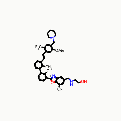 COc1cc(/C=C/c2cccc(-c3cccc(-c4nc5cc(CNCCO)cc(C#N)c5o4)c3C)c2C)c(C(F)(F)F)cc1CN1CCCCC1